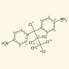 Nc1ccc(C(Cl)(c2ccc(N)cc2)C(Cl)(Cl)C(Cl)(Cl)Cl)cc1